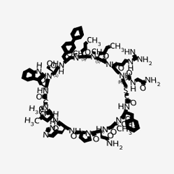 CCCC[C@H]1C(=O)N(C)[C@@H](CCCC)C(=O)NC(CCCNC(=N)N)C(=O)N[C@H](C(=O)NCC(N)=O)CSCC(=O)NC(Cc2ccccc2)C(=O)N(C)[C@@H](C)C(=O)N[C@@H](CC(N)=O)C(=O)N2CCCC2C(=O)N[C@@H](Cc2cnc[nH]2)C(=O)NC(CC(C)C)C(=O)N(C)CC(=O)N[C@@H](Cc2c[nH]c3ccccc23)C(=O)N[C@@H](CO)C(=O)NC(Cc2ccc(-c3ccccc3)cc2)C(=O)N1C